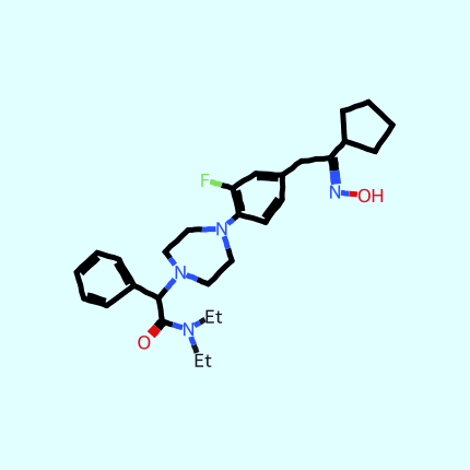 CCN(CC)C(=O)C(c1ccccc1)N1CCN(c2ccc(CC(=NO)C3CCCC3)cc2F)CC1